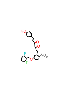 O=C(C=Cc1ccc(O)cc1)CC(=O)C=Cc1cc(OCc2c(F)cccc2Cl)ccc1[N+](=O)[O-]